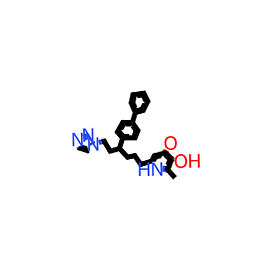 Cc1[nH]c(CCCC(CCn2ccnn2)c2ccc(-c3ccccc3)cc2)cc(=O)c1O